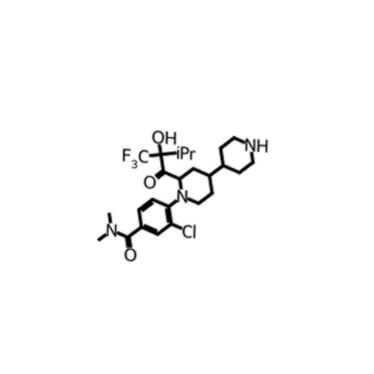 CC(C)C(O)(C(=O)C1CC(C2CCNCC2)CCN1c1ccc(C(=O)N(C)C)cc1Cl)C(F)(F)F